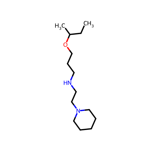 CCC(C)OCCCNCCN1CCCCC1